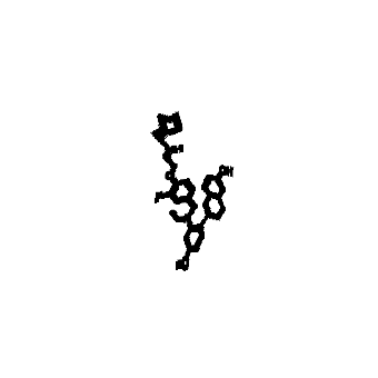 CCN(Cc1ccc(OCCNCC2CCC2)c(F)c1)c1cc(OC)ccc1[C@@H]1CCc2cc(O)ccc2C1